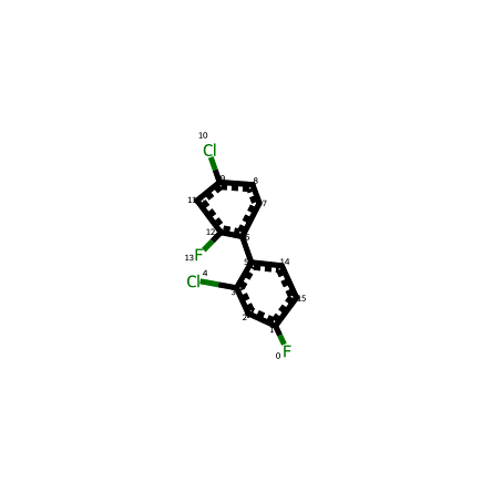 Fc1[c]c(Cl)c(-c2ccc(Cl)cc2F)cc1